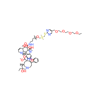 CCOCCOCCOCCOCc1cnc(SCS(C)(C)CO[Si](C)(C)CCCNC(=O)[C@@]2(O)[C@H](O)[C@]3(CC)C=CCN4CC[C@@]5(c6cc([C@@]7(C(=O)OC)C[C@@H]8CN(CCc9c7[nH]c7ccccc97)C[C@](O)(CC)C8)c(OC)cc6N(C)[C@@H]25)[C@@H]43)nc1